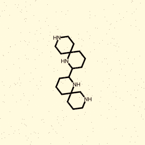 C1CC(C2CCCC3(CCCNC3)N2)NC2(C1)CCNCC2